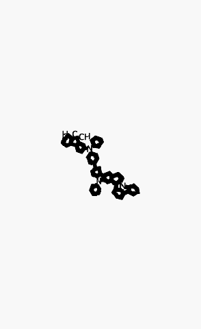 CC1(C)c2ccccc2-c2ccc(N(c3ccccc3)c3ccc(-c4ccc5c(c4)c4cc6ccc7c(c6cc4n5-c4ccccc4)c4cccc5c6ccccc6n7c54)cc3)cc21